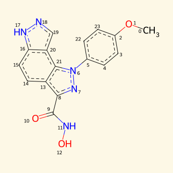 COc1ccc(-n2nc(C(=O)NO)c3ccc4[nH]ncc4c32)cc1